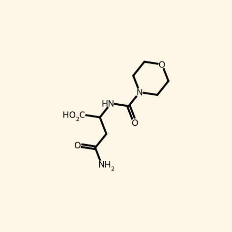 NC(=O)CC(NC(=O)N1CCOCC1)C(=O)O